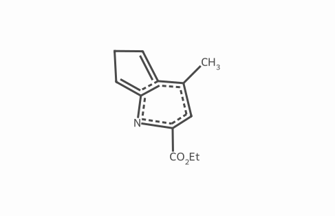 CCOC(=O)c1cc(C)c2c(n1)=CCC=2